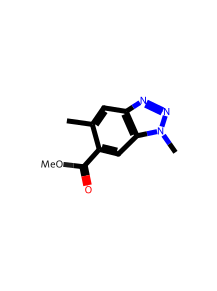 COC(=O)c1cc2c(cc1C)nnn2C